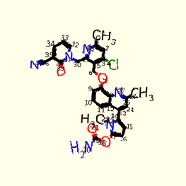 Cc1cc(Cl)c(COc2cccc3c(-c4ccc(OC(N)=O)n4C)cc(C)nc23)c(Cn2cccc(C#N)c2=O)n1